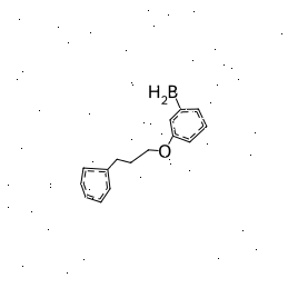 Bc1cccc(OCCCc2ccccc2)c1